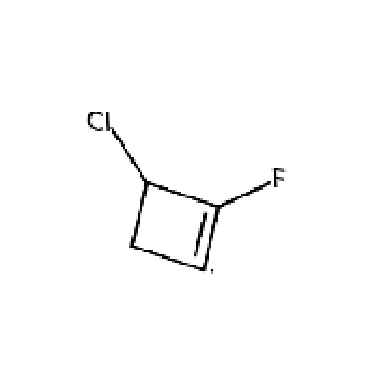 FC1=[C]CC1Cl